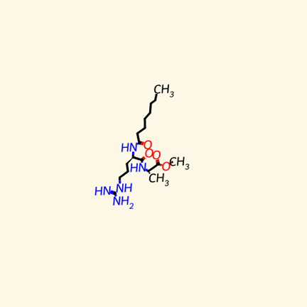 CCCCCCCC(=O)N[C@H](CCCNC(=N)N)C(=O)N[C@@H](C)C(=O)OC